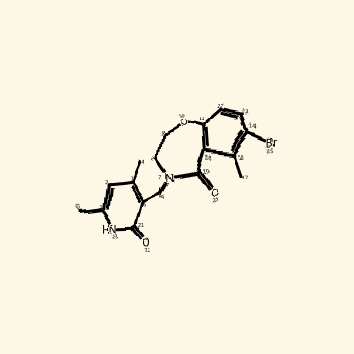 Cc1cc(C)c(CN2CCOc3ccc(Br)c(C)c3C2=O)c(=O)[nH]1